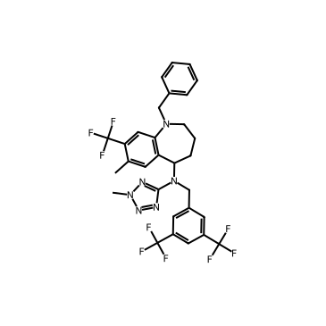 Cc1cc2c(cc1C(F)(F)F)N(Cc1ccccc1)CCCC2N(Cc1cc(C(F)(F)F)cc(C(F)(F)F)c1)c1nnn(C)n1